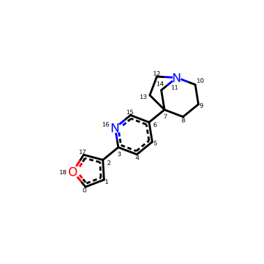 c1cc(-c2ccc(C34CCCN(CC3)C4)cn2)co1